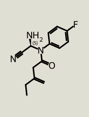 C=C(CC)CC(=O)N(c1ccc(F)cc1)[C@H](N)C#N